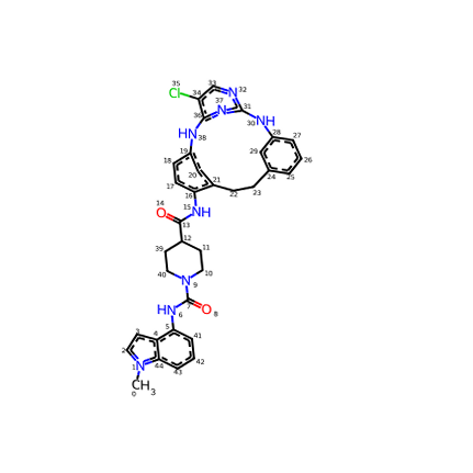 Cn1ccc2c(NC(=O)N3CCC(C(=O)Nc4ccc5cc4CCc4cccc(c4)Nc4ncc(Cl)c(n4)N5)CC3)cccc21